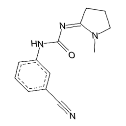 CN1CCCC1=NC(=O)Nc1cccc(C#N)c1